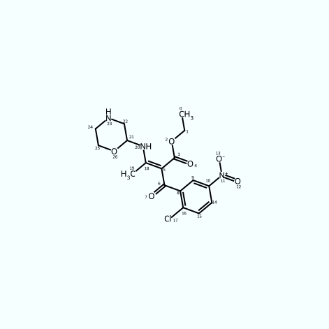 CCOC(=O)/C(C(=O)c1cc([N+](=O)[O-])ccc1Cl)=C(/C)NC1CNCCO1